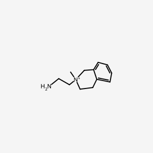 C[N+]1(CCN)CCc2ccccc2C1